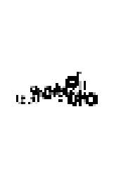 CC(C)(C)OC(=O)N1CCN(c2nc(-c3ccc(F)cc3)c(-c3ccnc([AsH]C4CCCCC4)n3)s2)CC1